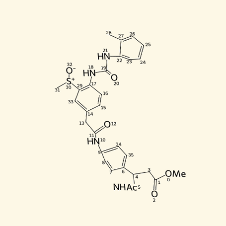 COC(=O)CC(NC(C)=O)c1ccc(NC(=O)Cc2ccc(NC(=O)Nc3ccccc3C)c([S+](C)[O-])c2)cc1